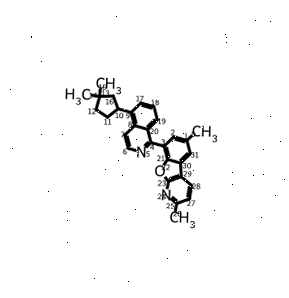 Cc1cc(-c2nccc3c(C4CCC(C)(C)C4)cccc23)c2oc3nc(C)ccc3c2c1